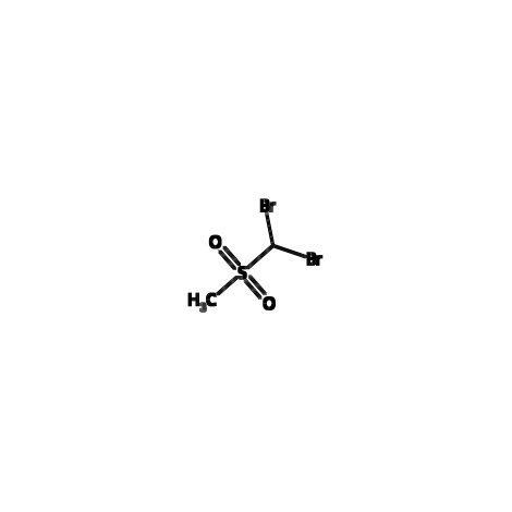 CS(=O)(=O)C(Br)Br